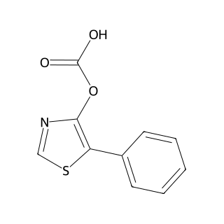 O=C(O)Oc1ncsc1-c1ccccc1